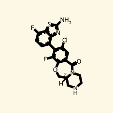 Nc1nc2c(-c3c(Cl)cc4c(c3F)OC[C@H]3CNCCN3C4=O)ccc(F)c2s1